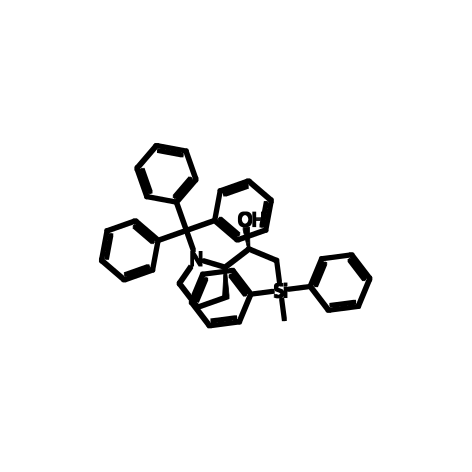 C[Si](C[C@H](O)[C@H]1CCCN1C(c1ccccc1)(c1ccccc1)c1ccccc1)(c1ccccc1)c1ccccc1